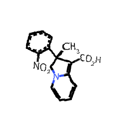 CC1(c2ccccc2[N+](=O)[O-])CN2C=CC=CC2=C1C(=O)O